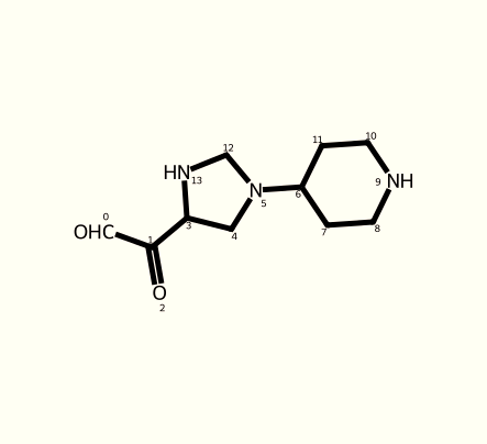 O=CC(=O)C1CN(C2CCNCC2)CN1